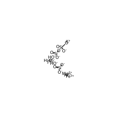 O.O=[Si]([O-])[O-].O=[Si]([O-])[O-].O=[Si]([O-])[O-].[Al+3].[Fe+3].[K+].[Mg+2].[OH-].[OH-].[OH-]